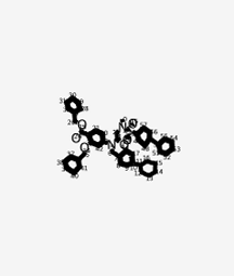 CN(CC(=O)N(Cc1ccc(C2CCCCC2)cc1)c1ccc(C(=O)OCc2ccccc2)c(OCc2ccccc2)c1)S(=O)(=O)c1ccc(-c2ccccc2)cc1